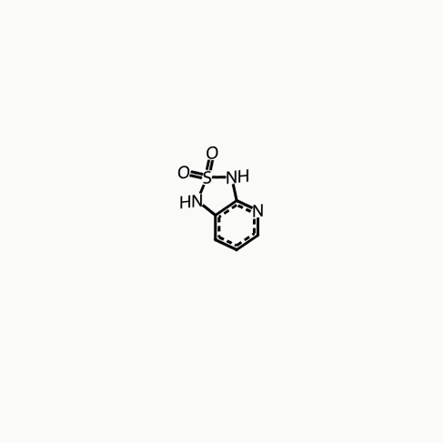 O=S1(=O)Nc2cccnc2N1